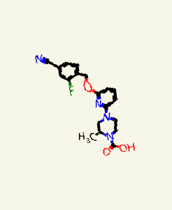 C[C@H]1CN(c2cccc(OCc3ccc(C#N)cc3F)n2)CCN1C(=O)O